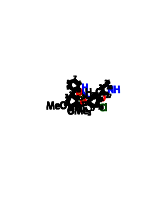 COc1cc(-c2ccccc2)c(S(=O)(=O)Nc2ccc(Cl)c(O[C@]3(C)CCNC3)c2)c(C(F)(F)F)c1OC